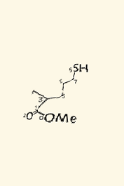 COC(=O)C(C)CCCS